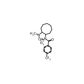 CN(C)C1CCCCCCC1N(C)C(=O)c1ccc(C(F)(F)F)cc1